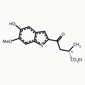 CCOC(=O)[C@@H](C)CC(=O)c1cc2cc(O)c(OC)cc2s1